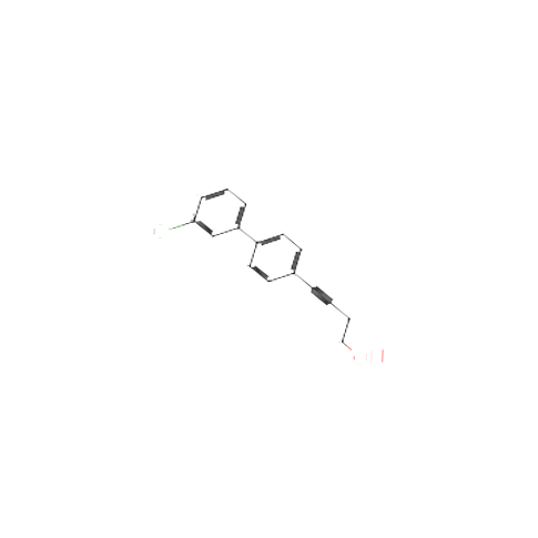 OCCC#Cc1ccc(-c2cccc(Cl)c2)cc1